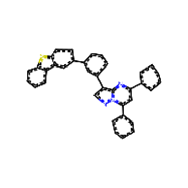 c1ccc(-c2cc(-c3ccccc3)n3ncc(-c4cccc(-c5ccc6sc7ccccc7c6c5)c4)c3n2)cc1